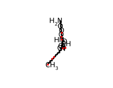 CCCCCCCCCCCCCCCC(=O)N1CCCC1C(=O)NCC(=O)NCCCOCCOCCOCCCN